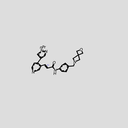 CCCn1cc(-c2ccncc2/C=C/C(=O)Nc2ccc(CN3CC4(COC4)C3)cc2)cn1